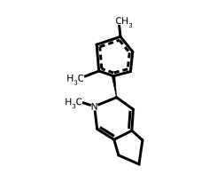 Cc1ccc([C@H]2C=C3CCCC3=CN2C)c(C)c1